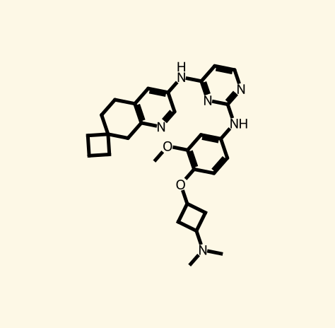 COc1cc(Nc2nccc(Nc3cnc4c(c3)CCC3(CCC3)C4)n2)ccc1OC1CC(N(C)C)C1